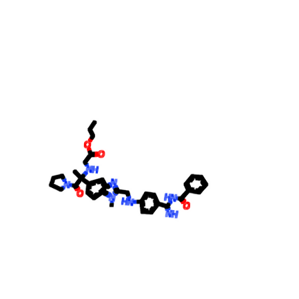 CCCOC(=O)CNC(C)(C(=O)N1CCCC1)c1ccc2c(c1)nc(CNc1ccc(C(=N)NC(=O)c3ccccc3)cc1)n2C